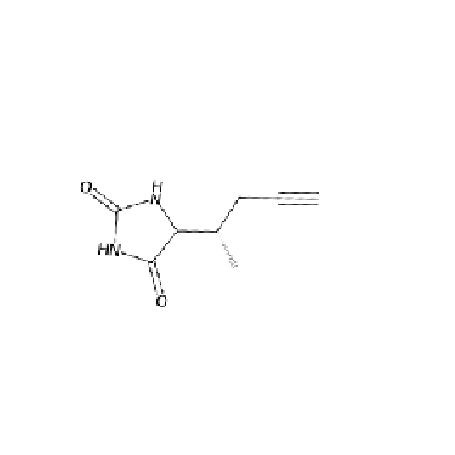 C#CC[C@H](C)C1NC(=O)NC1=O